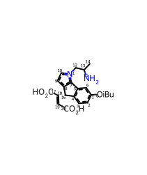 CC(C)COc1ccc2c(c1)-c1c(ccn1CC(C)N)C2.O=C(O)C=CC(=O)O